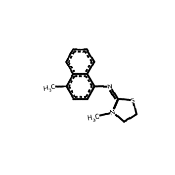 Cc1ccc(N=C2SCCN2C)c2ccccc12